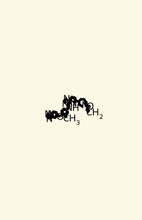 C=CC(=O)N1CCCC(c2ccc3ncnc(Nc4ccc(Oc5ccn6ncnc6c5)c(C)c4)c3n2)CC1